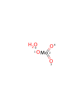 O.[O]=[Mo](=[O])=[O]